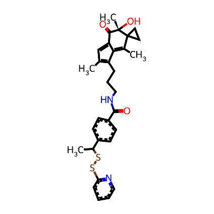 CC1=C(CCCNC(=O)c2ccc(C(C)SSc3ccccn3)cc2)C2=C(C)C3(CC3)[C@@](C)(O)C(=O)C2=C1